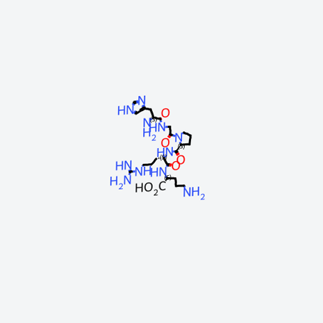 N=C(N)NCCC[C@H](NC(=O)[C@@H]1CCCN1C(=O)CNC(=O)[C@@H](N)Cc1c[nH]cn1)C(=O)N[C@@H](CCCN)C(=O)O